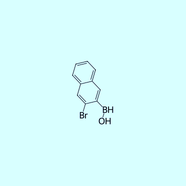 OBc1cc2ccccc2cc1Br